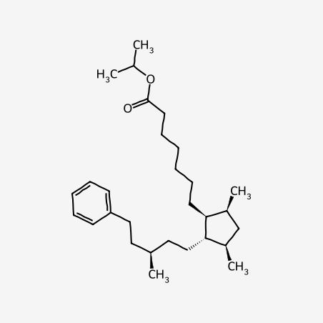 CC(C)OC(=O)CCCCCC[C@@H]1[C@@H](CC[C@@H](C)CCc2ccccc2)[C@H](C)C[C@@H]1C